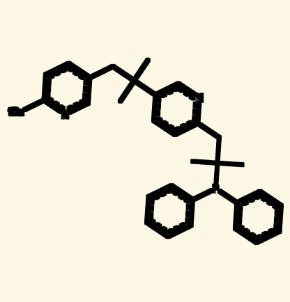 CC(C)(C)c1ccc(CC(C)(C)c2ccc(CC(C)(C)P(c3ccccc3)c3ccccc3)nc2)cn1